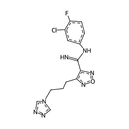 N=C(Nc1ccc(F)c(Cl)c1)c1nonc1CCCn1cnnc1